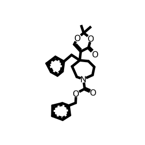 CC1(C)OC=C(C2(Cc3ccccc3)CCCN(C(=O)OCc3ccccc3)CC2)C(=O)O1